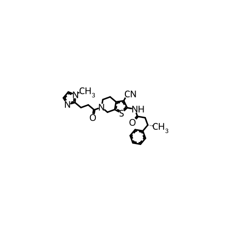 C[C@@H](CC(=O)Nc1sc2c(c1C#N)CCN(C(=O)CCc1nccn1C)C2)c1ccccc1